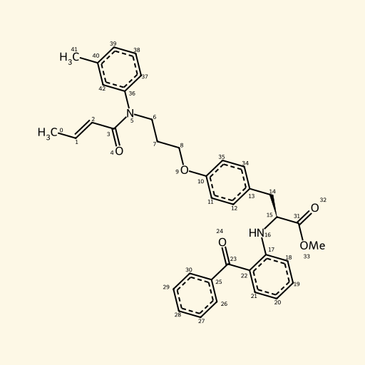 C/C=C/C(=O)N(CCCOc1ccc(C[C@H](Nc2ccccc2C(=O)c2ccccc2)C(=O)OC)cc1)c1cccc(C)c1